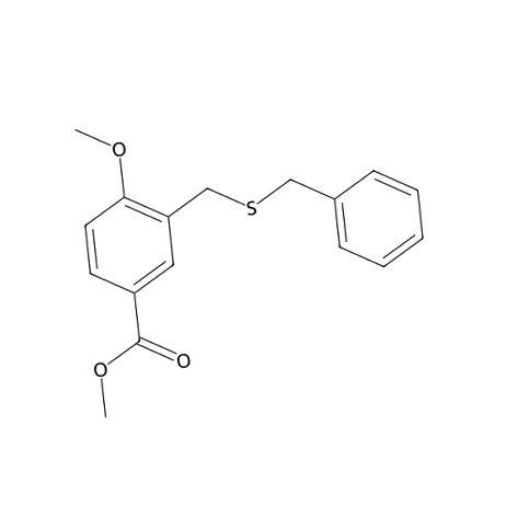 COC(=O)c1ccc(OC)c(CSCc2ccccc2)c1